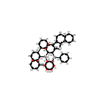 c1ccc(-c2cccc(N(c3ccccc3)c3c(N(c4ccccc4)c4ccccc4-c4ccccc4)ccc4c3oc3c5ccccc5ccc43)c2)cc1